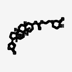 C[C@]12CC[C@H](OC(=O)OCCN3CCNC(=O)C3)C[C@H]1CC[C@@H]1[C@@H]2CC[C@]2(C)[C@@H](C3=CC(=O)OC3)CC[C@]12O